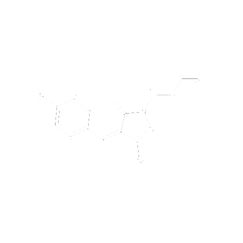 [C-]#[N+]C1=NN(OOC=C)C(=S)/C1=C\c1ccc(N)cc1